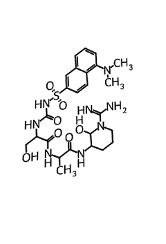 CC(NC(=O)C(CO)NC(=O)NS(=O)(=O)c1ccc2c(N(C)C)cccc2c1)C(=O)NC1CCCN(C(=N)N)C1O